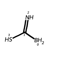 BC(=N)S